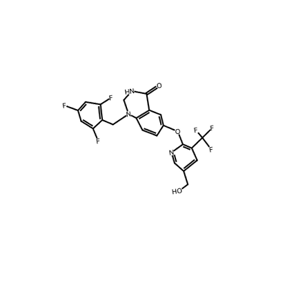 O=C1NCN(Cc2c(F)cc(F)cc2F)c2ccc(Oc3ncc(CO)cc3C(F)(F)F)cc21